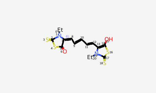 CCN1C(=S)SC(=O)/C1=C\C=CC=Cc1c(O)sc(=S)n1CC